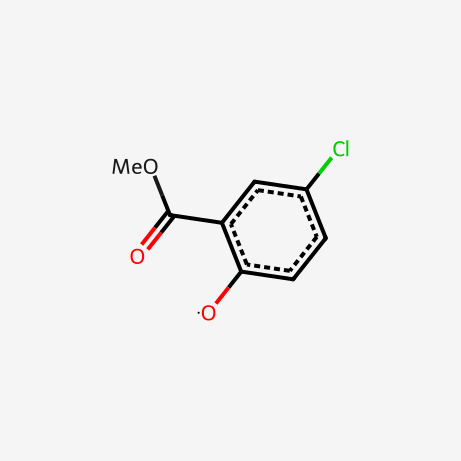 COC(=O)c1cc(Cl)ccc1[O]